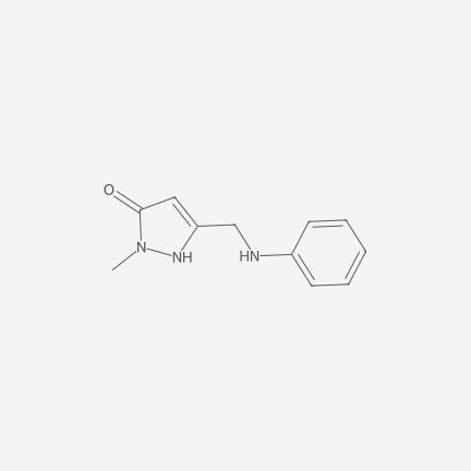 Cn1[nH]c(CNc2ccccc2)cc1=O